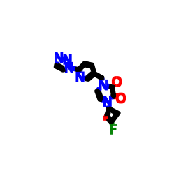 O=c1c(=O)n(C23CC(F)(C2)C3)ccn1Cc1ccc(-n2ccnn2)nc1